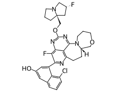 Oc1cc(-c2nc3c4c(nc(OC[C@@]56CCCN5C[C@H](F)C6)nc4c2F)N2CCCOC[C@@H]2CC3)c2c(Cl)cccc2c1